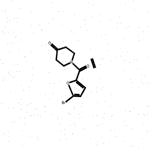 C=C.O=C1CCN(C(=O)c2ccc(Br)o2)CC1